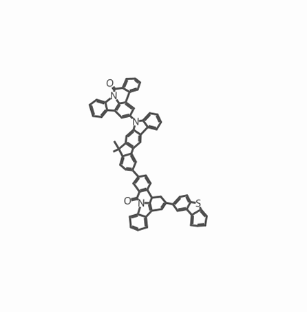 CC1(C)c2ccc(-c3ccc4c(c3)C(=O)n3c5c(c6ccccc63)C=C(c3ccc6sc7ccccc7c6c3)CC45)cc2-c2cc3c4ccccc4n(-c4cc5c6ccccc6c(=O)n6c7ccccc7c(c4)c56)c3cc21